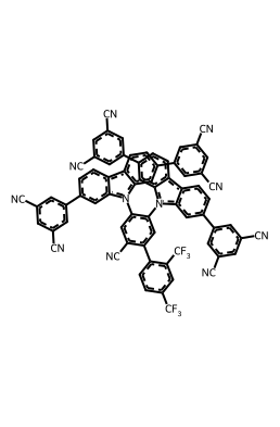 N#Cc1cc(C#N)cc(-c2ccc3c4ccc(-c5cc(C#N)cc(C#N)c5)cc4n(-c4cc(C#N)c(-c5ccc(C(F)(F)F)cc5C(F)(F)F)cc4-n4c5cc(-c6cc(C#N)cc(C#N)c6)ccc5c5ccc(-c6cc(C#N)cc(C#N)c6)cc54)c3c2)c1